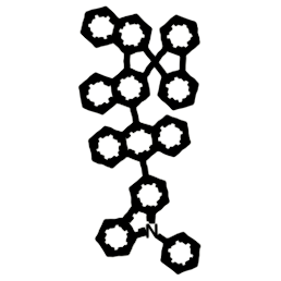 c1ccc(-n2c3ccccc3c3cc(-c4c5ccccc5c(-c5cc6c(c7ccccc57)-c5c(ccc7ccccc57)C65c6ccccc6-c6ccccc65)c5ccccc45)ccc32)cc1